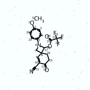 COc1ccc(N2CC3(C=C(C#N)C(=O)CC3)C2OC(=O)C(F)(F)F)cc1